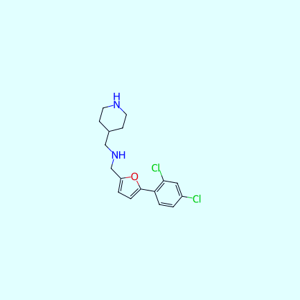 Clc1ccc(-c2ccc(CNCC3CCNCC3)o2)c(Cl)c1